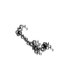 Cc1ccc(S(=O)(=O)OCCOCCOCCOc2ccc(Nc3ncc(C(F)(F)F)c(NCc4cccc(N(C)S(C)(=O)=O)c4)n3)c(C)c2)cc1